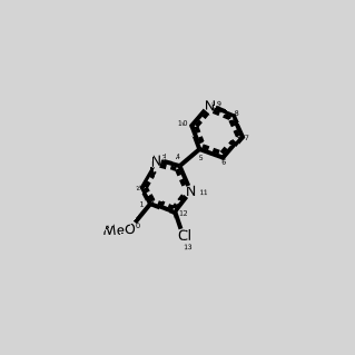 COc1cnc(-c2cccnc2)nc1Cl